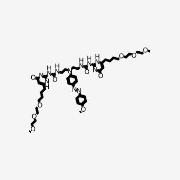 COCCOCCOCCCCc1cc(=O)nc(NC(=O)NCCN(CCNC(=O)Nc2nc(=O)cc(CCCCOCCOCCOC)[nH]2)c2ccc(/N=N/c3ccc(OC)cc3)cc2)[nH]1